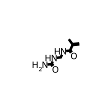 C=C(C)C(=O)NCNC(N)=O